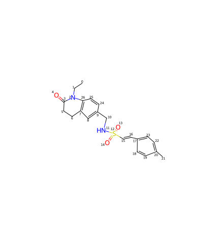 CCN1C(=O)CCc2cc(CNS(=O)(=O)/C=C/c3ccc(C)cc3)ccc21